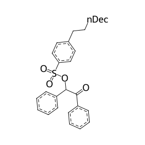 CCCCCCCCCCCCc1ccc(S(=O)(=O)OC(C(=O)c2ccccc2)c2ccccc2)cc1